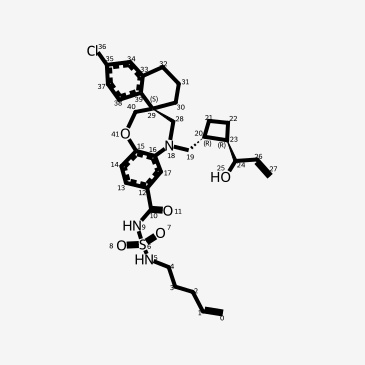 C=CCCCNS(=O)(=O)NC(=O)c1ccc2c(c1)N(C[C@@H]1CC[C@H]1C(O)C=C)C[C@@]1(CCCc3cc(Cl)ccc31)CO2